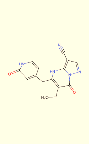 CCc1c(Cc2cc[nH]c(=O)c2)[nH]c2c(C#N)cnn2c1=O